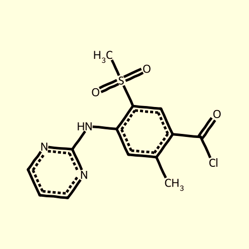 Cc1cc(Nc2ncccn2)c(S(C)(=O)=O)cc1C(=O)Cl